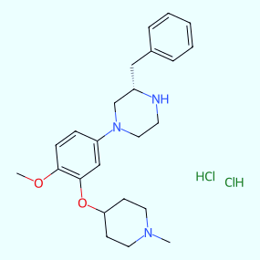 COc1ccc(N2CCN[C@@H](Cc3ccccc3)C2)cc1OC1CCN(C)CC1.Cl.Cl